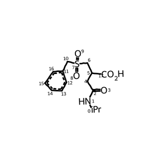 CC(C)NC(=O)CC(CS(=O)(=O)Cc1ccccc1)C(=O)O